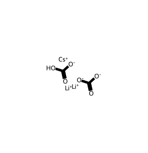 O=C([O-])O.O=C([O-])[O-].[Cs+].[Li+].[Li+]